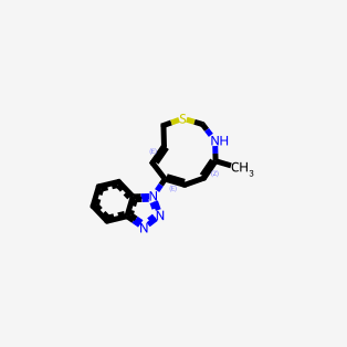 C/C1=C/C=C(n2nnc3ccccc32)\C=C\CSCN1